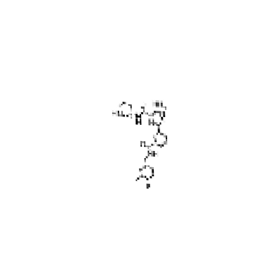 Cc1cc(CNC(=O)c2cccc(-c3cnc(N)c(C(=O)N[C@H]4CCCNC4)n3)c2)ccc1F